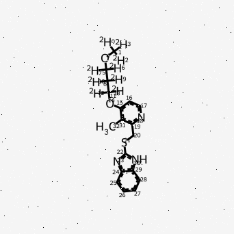 [2H]C([2H])([2H])OC([2H])([2H])C([2H])([2H])C([2H])([2H])Oc1ccnc(CSc2nc3ccccc3[nH]2)c1C